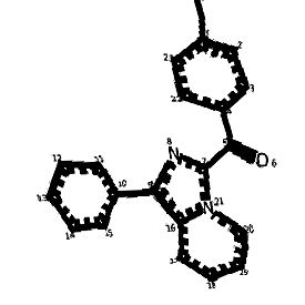 Cc1ccc(C(=O)c2nc(-c3ccccc3)c3ccccn23)cc1